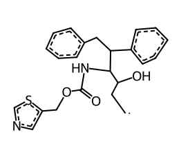 [CH2]CC(O)C(NC(=O)OCc1cncs1)C(Cc1ccccc1)c1ccccc1